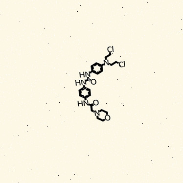 O=C(CN1CCOCC1)Nc1ccc(NC(=O)Nc2ccc(N(CCCl)CCCl)cc2)cc1